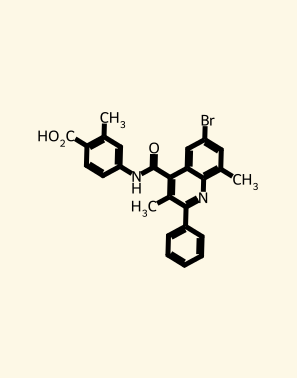 Cc1cc(NC(=O)c2c(C)c(-c3ccccc3)nc3c(C)cc(Br)cc23)ccc1C(=O)O